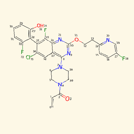 C=CC(=O)N1CCN(c2nc(OCCc3ccc(F)cn3)nc3c(F)c(-c4c(O)cccc4F)c(Cl)cc23)CC1